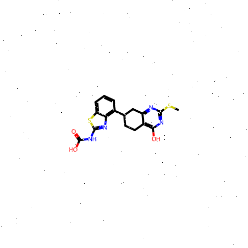 CSc1nc(O)c2c(n1)CC(c1cccc3sc(NC(=O)O)nc13)CC2